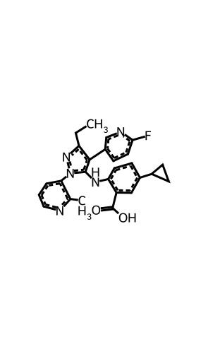 CCc1nn(-c2cccnc2C)c(Nc2ccc(C3CC3)cc2C(=O)O)c1-c1ccc(F)nc1